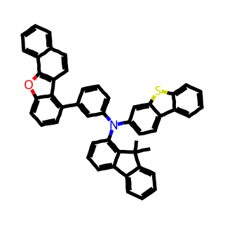 CC1(C)c2ccccc2-c2cccc(N(c3cccc(-c4cccc5oc6c7ccccc7ccc6c45)c3)c3ccc4c(c3)sc3ccccc34)c21